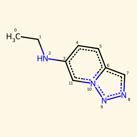 CCNc1ccc2cnnn2c1